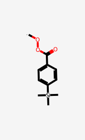 [CH2]OOC(=O)c1ccc([Si](C)(C)C)cc1